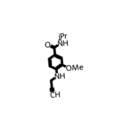 C#CCNc1ccc(C(=O)NC(C)C)cc1OC